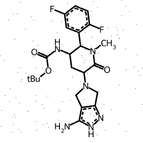 CN1C(=O)C(N2Cc3n[nH]c(N)c3C2)CC(NC(=O)OC(C)(C)C)C1c1cc(F)ccc1F